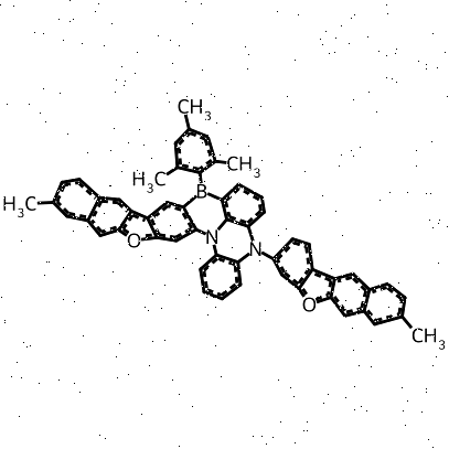 Cc1cc(C)c(B2c3cc4c(cc3N3c5ccccc5N(c5ccc6c(c5)oc5cc7cc(C)ccc7cc56)c5cccc2c53)oc2cc3cc(C)ccc3cc24)c(C)c1